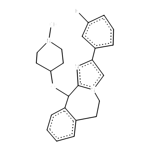 CN1CCC(OC2c3ccccc3CCn3cc(-c4cccc(F)c4)nc32)CC1